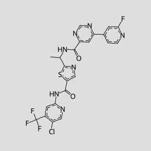 CC(NC(=O)c1cc(-c2ccnc(F)c2)ncn1)c1ncc(C(=O)Nc2cc(C(F)(F)F)c(Cl)cn2)s1